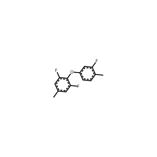 Cc1cc(F)c(Oc2ccc(C)c(F)c2)c(F)c1